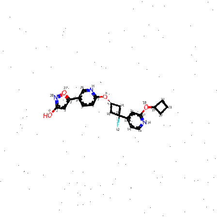 Oc1cc(-c2ccc(O[C@H]3C[C@@](F)(c4ccnc(OC5CCC5)c4)C3)nc2)on1